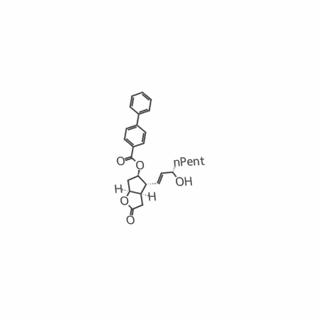 CCCCC[C@H](O)/C=C/[C@@H]1[C@H]2CC(=O)O[C@H]2C[C@H]1OC(=O)c1ccc(-c2ccccc2)cc1